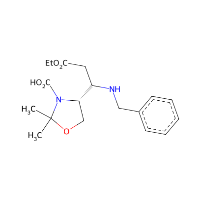 CCOC(=O)CC(NCc1ccccc1)[C@@H]1COC(C)(C)N1C(=O)O